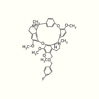 COc1ccc2cc1Oc1ccc(cc1)C[C@H]1c3cc(c(OC)cc3CCN1C)Oc1c(OC)c(OC)c(COCc3ccc(F)cc3)c3c1[C@H](C2)N(C)CC3